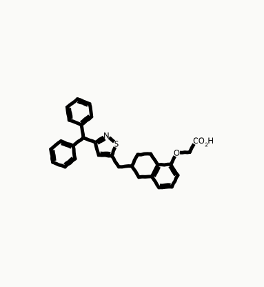 O=C(O)COc1cccc2c1CCC(Cc1cc(C(c3ccccc3)c3ccccc3)ns1)C2